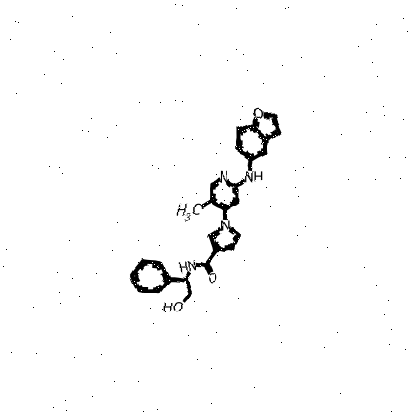 Cc1cnc(Nc2ccc3occc3c2)cc1-n1ccc(C(=O)NC(CO)c2ccccc2)c1